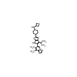 Cc1c(-c2[nH]c3sc(C4CCC(NC5COC5)CC4)nc3c2C(C)C)cn2ncnc2c1C